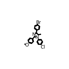 COc1ccc(C2N=C(c3ccc(Br)cc3)C(C)N2c2ccc(Cl)cc2)cc1